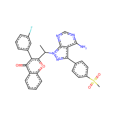 CC(c1oc2ccccc2c(=O)c1-c1cccc(F)c1)n1nc(-c2ccc(S(C)(=O)=O)cc2)c2c(N)ncnc21